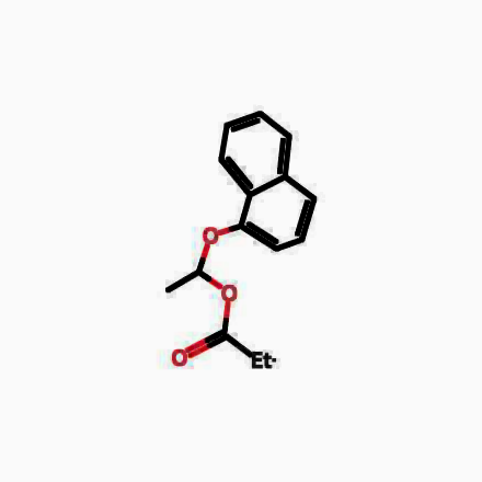 C[CH]C(=O)OC(C)Oc1cccc2ccccc12